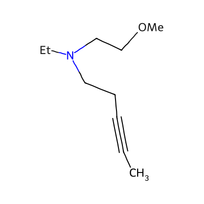 CC#CCCN(CC)CCOC